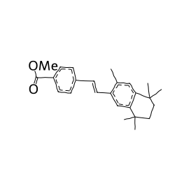 COC(=O)c1ccc(C=Cc2cc3c(cc2C)C(C)(C)CCC3(C)C)cc1